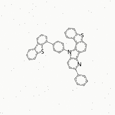 c1ccc(-c2ccc3c(n2)c2ccc4sc5ccccc5c4c2n3-c2ccc(-c3cccc4c3sc3ccccc34)cc2)cc1